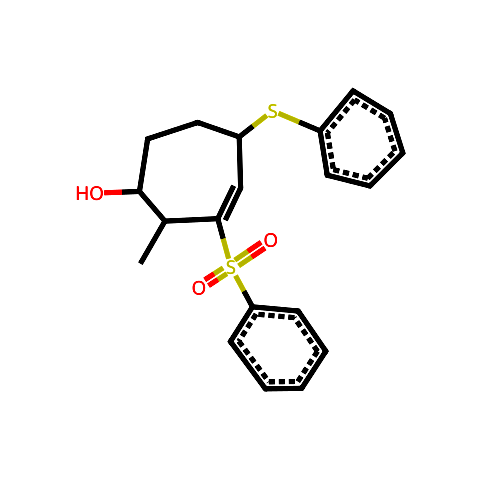 CC1C(S(=O)(=O)c2ccccc2)=CC(Sc2ccccc2)CCC1O